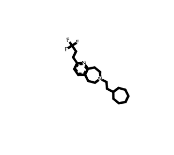 FC(F)(F)CCc1ccc2c(n1)CCN(CCC1CCCCCC1)CC2